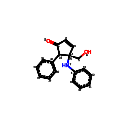 O=C1C=C[C@](CO)(Nc2ccccc2)C1c1ccccc1